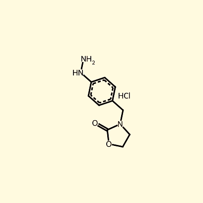 Cl.NNc1ccc(CN2CCOC2=O)cc1